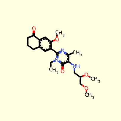 CCn1c(-c2cc3c(cc2OC)C(=O)CCC3)nc(C)c(NCC(COC)OC)c1=O